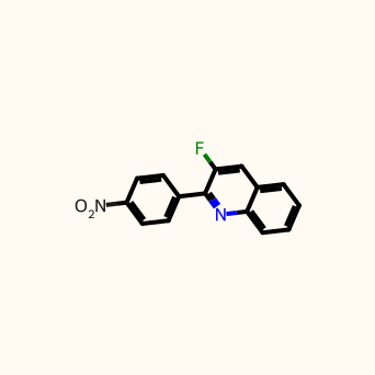 O=[N+]([O-])c1ccc(-c2nc3ccccc3cc2F)cc1